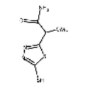 COC(C(N)=O)c1nnc(S)s1